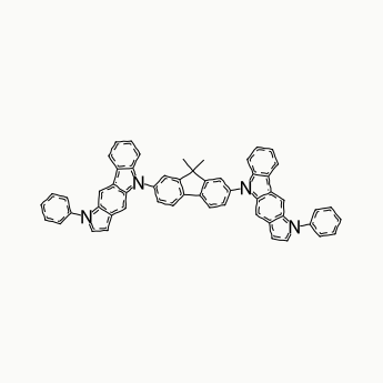 CC1(C)c2cc(-n3c4ccccc4c4cc5c(ccn5-c5ccccc5)cc43)ccc2-c2ccc(-n3c4ccccc4c4cc5c(ccn5-c5ccccc5)cc43)cc21